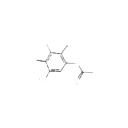 CC(=O)Oc1cc(O)c(C)c(C)c1C